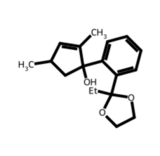 CCC1(c2ccccc2C2(O)CC(C)C=C2C)OCCO1